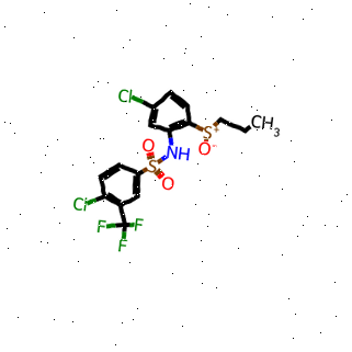 CCC[S+]([O-])c1ccc(Cl)cc1NS(=O)(=O)c1ccc(Cl)c(C(F)(F)F)c1